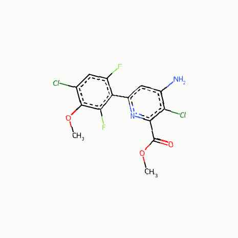 COC(=O)c1nc(-c2c(F)cc(Cl)c(OC)c2F)cc(N)c1Cl